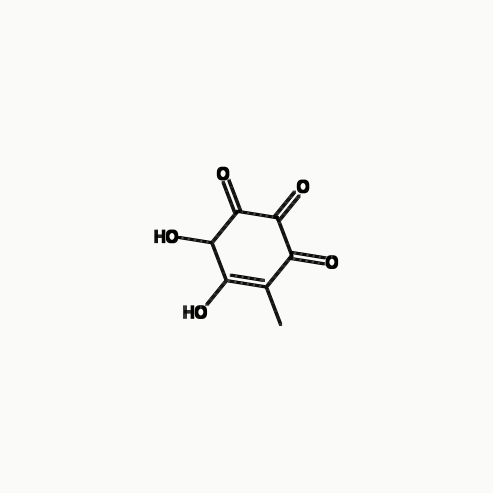 CC1=C(O)C(O)C(=O)C(=O)C1=O